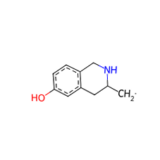 [CH2]C1Cc2cc(O)ccc2CN1